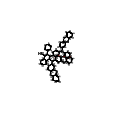 Sc1c(-c2ccccc2)c(-c2ccc(N(c3ccccc3)c3ccc4c(c3)Sc3ccccc3S4)cc2)c(N(c2ccc3c(c2)Sc2ccccc2S3)c2ccc3c(c2)Sc2ccccc2S3)c2ccccc12